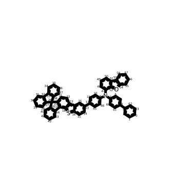 c1ccc(-c2ccc(N(c3ccc(-c4ccc5sc6c7c(ccc6c5c4)C4(c5ccccc5-c5ccccc54)c4ccccc4-7)cc3)c3cccc4c3oc3ccccc34)cc2)cc1